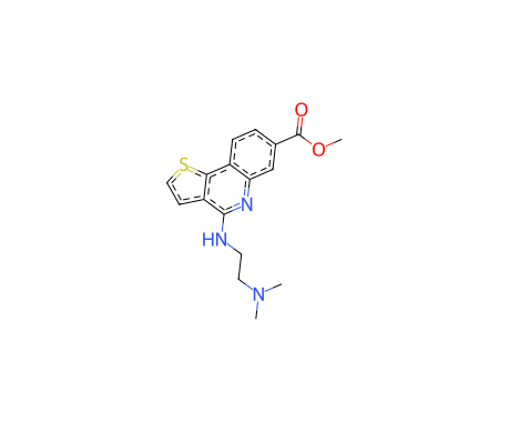 COC(=O)c1ccc2c(c1)nc(NCCN(C)C)c1ccsc12